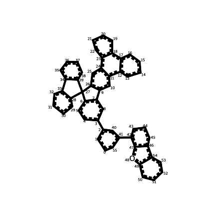 c1cc(-c2ccc3c(c2)-c2cc4c5ccccc5c5ccccc5c4cc2C32c3ccccc3-c3ccccc32)cc(-c2cccc3c2oc2ccccc23)c1